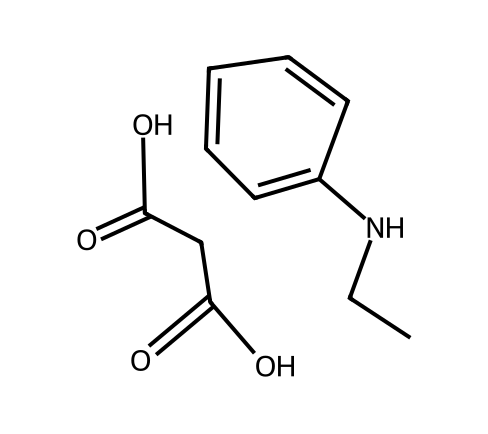 CCNc1ccccc1.O=C(O)CC(=O)O